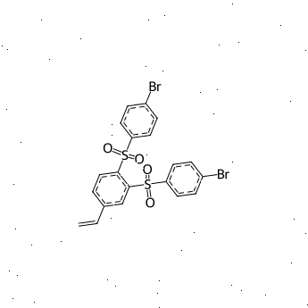 C=Cc1ccc(S(=O)(=O)c2ccc(Br)cc2)c(S(=O)(=O)c2ccc(Br)cc2)c1